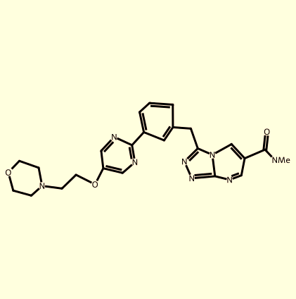 CNC(=O)c1cnc2nnc(Cc3cccc(-c4ncc(OCCN5CCOCC5)cn4)c3)n2c1